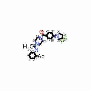 CC(=O)c1ccccc1/N=C(\C)N1CCN(C(=O)c2ccc(N3CCC(F)(F)C3)cc2)CC1